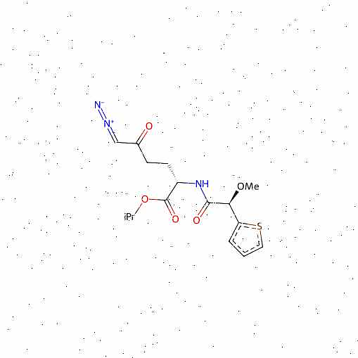 CO[C@H](C(=O)N[C@@H](CCC(=O)C=[N+]=[N-])C(=O)OC(C)C)c1cccs1